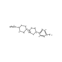 CCCCCC1CCC([SiH]2CCC(c3ccc(F)cc3)CC2)CC1